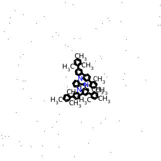 Cc1cc(C)c(-c2ccc3c(c2)c2ccc(-c4c(C)cc(C)cc4C)cc2n3-c2cccc(-n3c4ccc(-c5c(C)cc(C)cc5C)cc4c4ccc(-c5c(C)cc(C)cc5C)cc43)c2C#N)c(C)c1